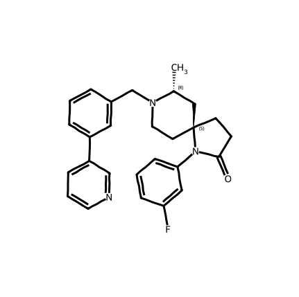 C[C@@H]1C[C@]2(CCC(=O)N2c2cccc(F)c2)CCN1Cc1cccc(-c2cccnc2)c1